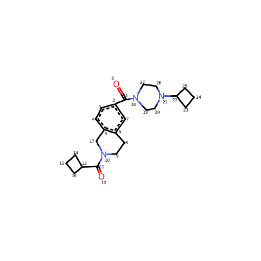 O=C(c1ccc2c(c1)CCN(C(=O)C1CCC1)C2)N1CCN(C2CCC2)CC1